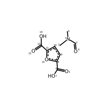 CN(C)C=O.O=C(O)c1ccc(C(=O)O)o1